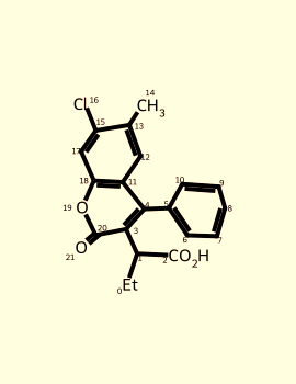 CCC(C(=O)O)c1c(-c2ccccc2)c2cc(C)c(Cl)cc2oc1=O